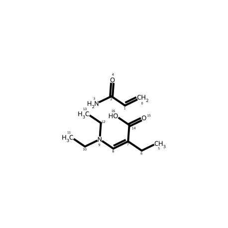 C=CC(N)=O.CCC(=CN(CC)CC)C(=O)O